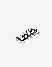 CC1(C)Oc2cc3oc(=O)ccc3cc2C[C@H]1O